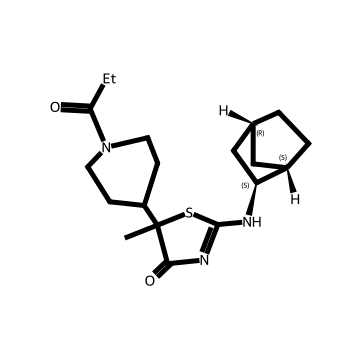 CCC(=O)N1CCC(C2(C)SC(N[C@H]3C[C@@H]4CC[C@H]3C4)=NC2=O)CC1